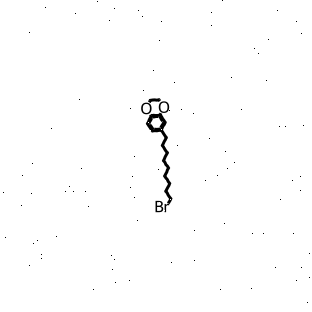 BrCCCCCCCCCc1ccc2c(c1)OCCO2